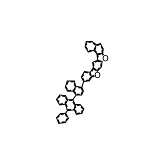 c1ccc(-c2c3ccccc3c(-c3ccc(-c4ccc5c(c4)oc4cc6oc7ccc8ccccc8c7c6cc45)c4ccccc34)c3ccccc23)cc1